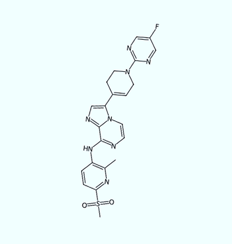 Cc1nc(S(C)(=O)=O)ccc1Nc1nccn2c(C3=CCN(c4ncc(F)cn4)CC3)cnc12